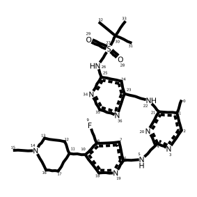 Cc1cnc(Nc2cc(F)c(C3CCN(C)CC3)cn2)nc1Nc1cc(NS(=O)(=O)C(C)(C)C)ncn1